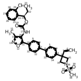 C=CC1(c2ccc(-c3ccc(-c4onc(C)c4NC(=O)O[C@H](CC)c4ccccc4Cl)cc3)cc2)CN(S(C)(=O)=O)C1